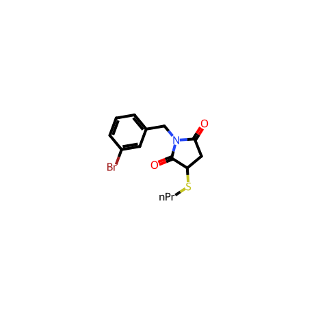 CCCSC1CC(=O)N(Cc2cccc(Br)c2)C1=O